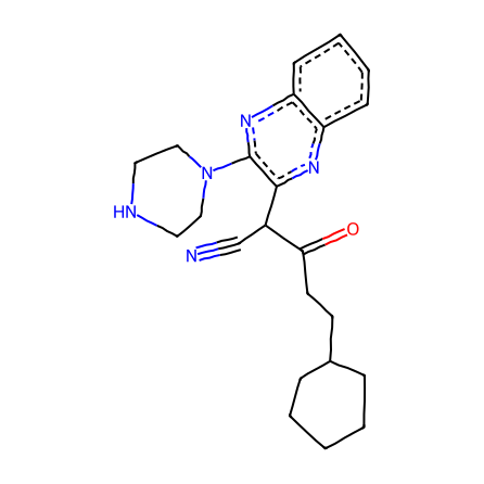 N#CC(C(=O)CCC1CCCCC1)c1nc2ccccc2nc1N1CCNCC1